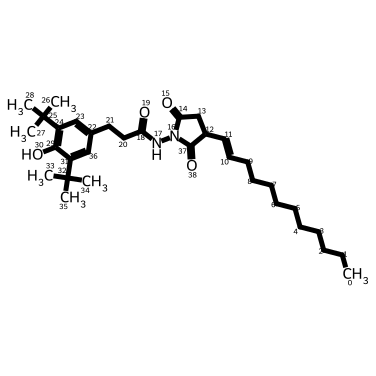 CCCCCCCCCCC=CC1CC(=O)N(NC(=O)CCc2cc(C(C)(C)C)c(O)c(C(C)(C)C)c2)C1=O